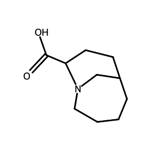 O=C(O)C1CCC2CCCCN1C2